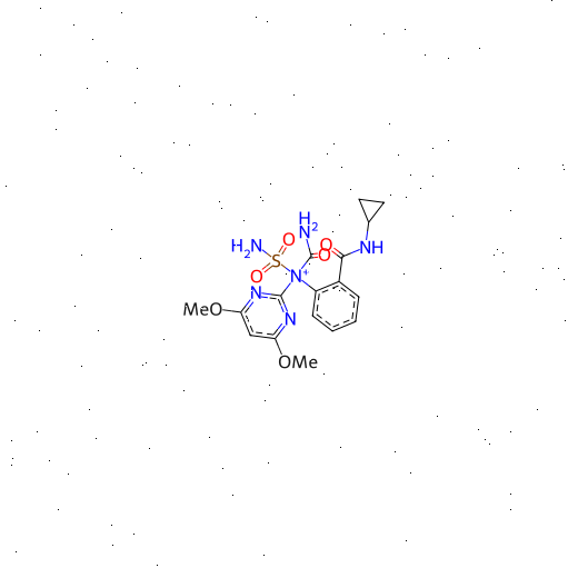 COc1cc(OC)nc([N+](C(N)=O)(c2ccccc2C(=O)NC2CC2)S(N)(=O)=O)n1